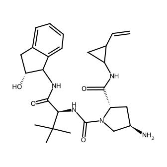 C=CC1CC1NC(=O)[C@@H]1C[C@@H](N)CN1C(=O)N[C@H](C(=O)NC1c2ccccc2C[C@H]1O)C(C)(C)C